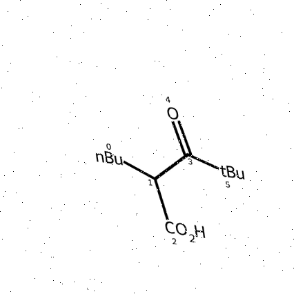 CCCCC(C(=O)O)C(=O)C(C)(C)C